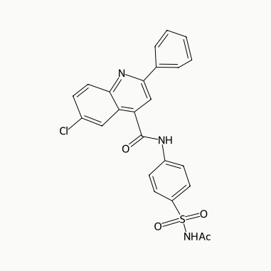 CC(=O)NS(=O)(=O)c1ccc(NC(=O)c2cc(-c3ccccc3)nc3ccc(Cl)cc23)cc1